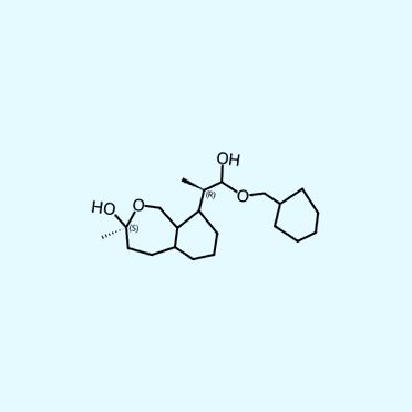 C[C@@H](C(O)OCC1CCCCC1)C1CCCC2CC[C@@](C)(O)OCC21